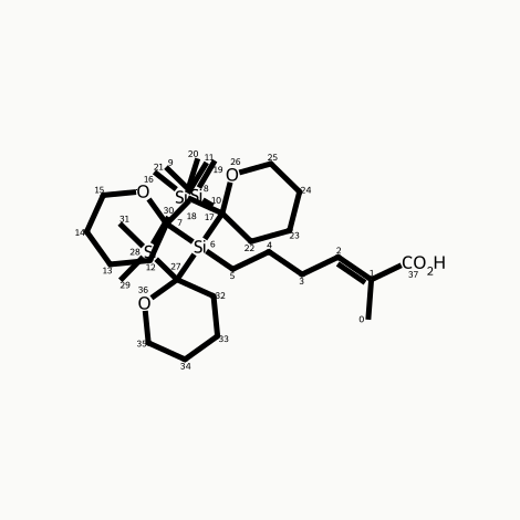 CC(=CCCC[Si](C1([Si](C)(C)C)CCCCO1)(C1([Si](C)(C)C)CCCCO1)C1([Si](C)(C)C)CCCCO1)C(=O)O